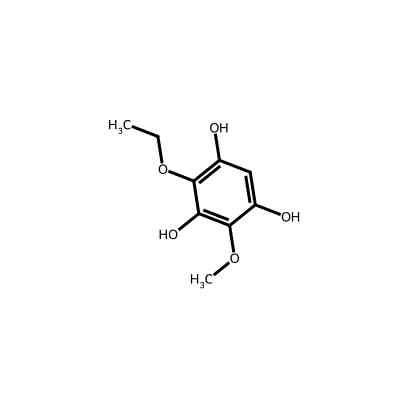 CCOc1c(O)cc(O)c(OC)c1O